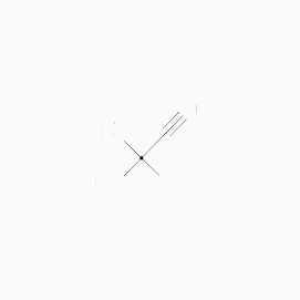 C#CC([CH2])(C)C